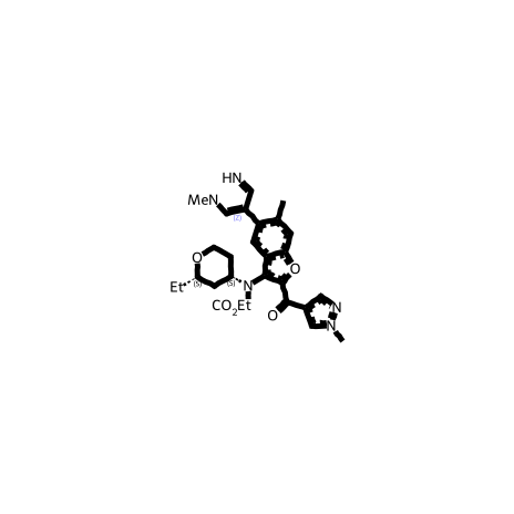 CCOC(=O)N(c1c(C(=O)c2cnn(C)c2)oc2cc(C)c(/C(C=N)=C/NC)cc12)[C@H]1CCO[C@@H](CC)C1